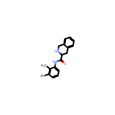 Cc1c(NC(=O)C2Cc3ccccc3CN2)cccc1C(C)C